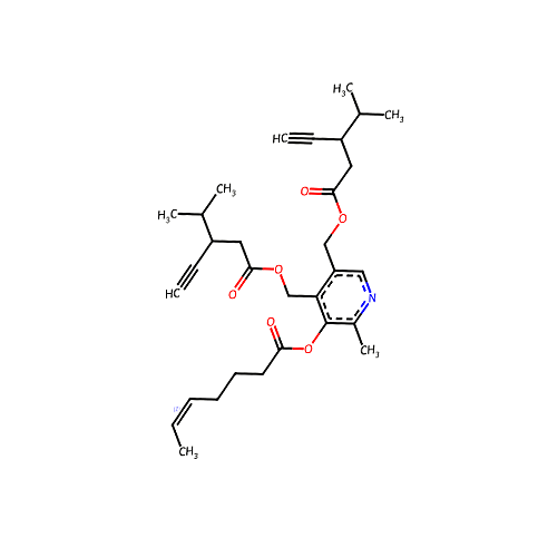 C#CC(CC(=O)OCc1cnc(C)c(OC(=O)CCC/C=C\C)c1COC(=O)CC(C#C)C(C)C)C(C)C